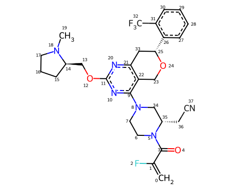 C=C(F)C(=O)N1CCN(c2nc(OC[C@H]3CCCN3C)nc3c2CO[C@@H](c2ccccc2C(F)(F)F)C3)C[C@@H]1CC#N